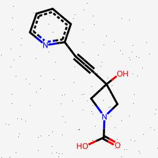 O=C(O)N1CC(O)(C#Cc2ccccn2)C1